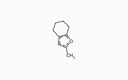 Cc1cc2c(o1)CCCC2